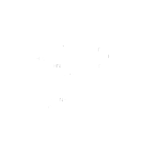 Cc1cccnc1[C@@H](NC(=O)c1ccc(=O)[nH]c1)c1ccc(C(F)(F)F)cc1